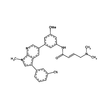 COc1cc(NC(=O)/C=C/CN(C)C)cc(-c2cnc3c(c2)c(-c2cccc(C#N)c2)cn3C)c1